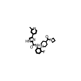 Cc1cc(-c2c[nH]c(C(=O)Nc3cccc(F)c3N3CCC(C(=O)N4CCC4)CC3)n2)ccn1